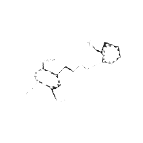 CCCc1cc(OC)c(CCNCc2ccccc2O)cc1OC